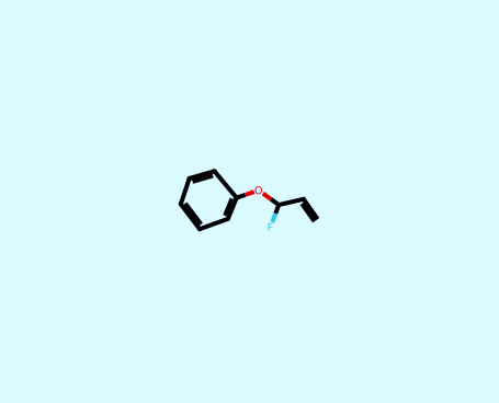 C=C[C](F)Oc1ccccc1